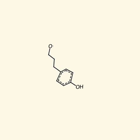 [O]CCCc1ccc(O)cc1